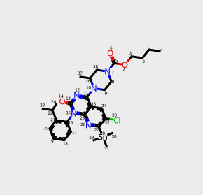 CCCCOC(=O)N1CCN(c2nc(=O)n(-c3ccccc3C(C)C)c3n[c]([Sn]([CH3])([CH3])[CH3])c(Cl)cc23)C(C)C1